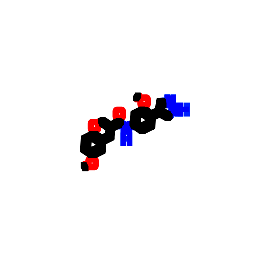 COc1ccc2c(c1)CC(C(=O)Nc1ccc(C3C=NNC3)c(OC)c1)CO2